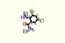 CCNc1c(Br)cc(Cl)cc1C(=O)N(C)CC